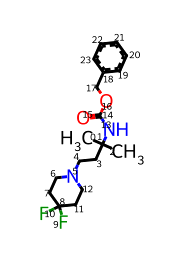 CC(C)(CCN1CCC(F)(F)CC1)NC(=O)OCc1ccccc1